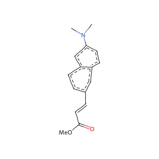 COC(=O)/C=C/c1ccc2cc(N(C)C)ccc2c1